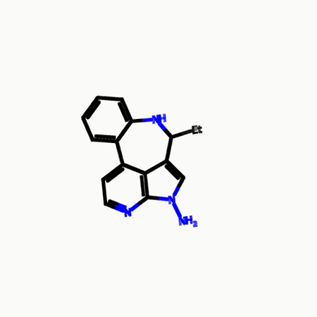 CCC1Nc2ccccc2-c2ccnc3c2c1cn3N